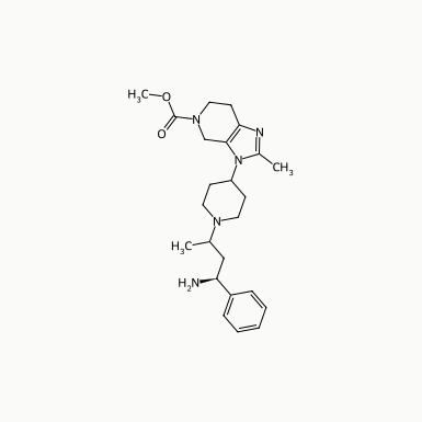 COC(=O)N1CCc2nc(C)n(C3CCN(C(C)C[C@H](N)c4ccccc4)CC3)c2C1